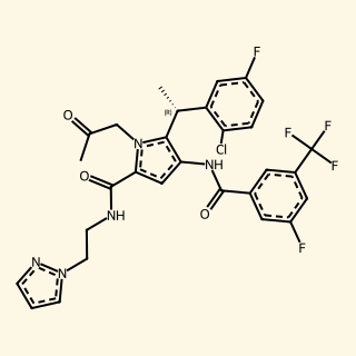 CC(=O)Cn1c(C(=O)NCCn2cccn2)cc(NC(=O)c2cc(F)cc(C(F)(F)F)c2)c1[C@H](C)c1cc(F)ccc1Cl